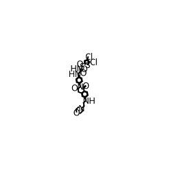 O=C(Nc1ccc(N2C(=O)Cc3cc(NCCN4CCOCC4)ccc3C2=O)cc1)NS(=O)(=O)c1cc(Cl)c(Cl)s1